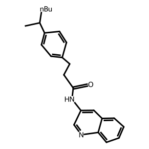 CCCCC(C)c1ccc(CCC(=O)Nc2cnc3ccccc3c2)cc1